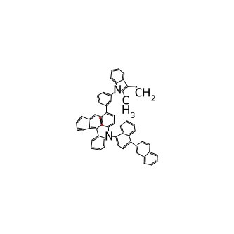 C=Cc1c(C)n(-c2cccc(-c3ccc(N(c4ccccc4-c4cccc5ccc#cc45)c4ccc(-c5ccc6ccccc6c5)c5ccccc45)cc3)c2)c2ccccc12